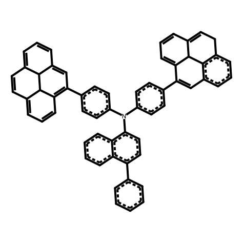 C1=CC2=CCc3cccc4c3C2C(=C1)C(c1ccc(N(c2ccc(C3=C5C=CC=C6C=CC7=CC=CC(=C3)C7C65)cc2)c2ccc(-c3ccccc3)c3ccccc23)cc1)=C4